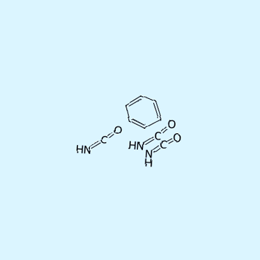 N=C=O.N=C=O.N=C=O.c1ccccc1